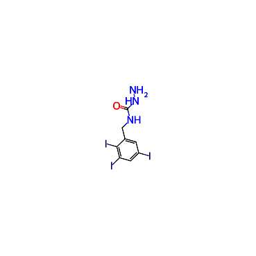 NNC(=O)NCc1cc(I)cc(I)c1I